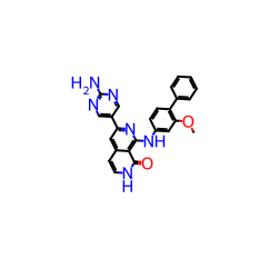 COc1cc(Nc2nc(-c3cnc(N)nc3)cc3cc[nH]c(=O)c23)ccc1-c1ccccc1